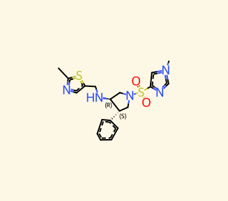 Cc1ncc(CN[C@H]2CN(S(=O)(=O)c3cn(C)cn3)C[C@@H]2c2ccccc2)s1